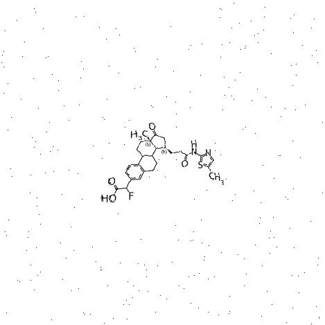 Cc1cnc(NC(=O)CC[C@@H]2CC(=O)[C@@]3(C)CCC4c5ccc(C(F)C(=O)O)cc5CCC4C23)s1